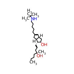 CCCC[C@](C)(O)C/C=C/[C@@H]1[C@H]2CC(CCCCCNC(C)(C)C)=C[C@H]2C[C@H]1O